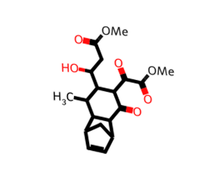 COC(=O)CC(O)C1C(C(=O)C(=O)OC)C(=O)C2C3C=CC(C3)C2C1C